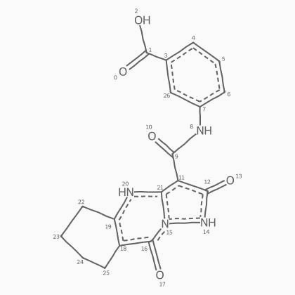 O=C(O)c1cccc(NC(=O)c2c(=O)[nH]n3c(=O)c4c([nH]c23)CCCC4)c1